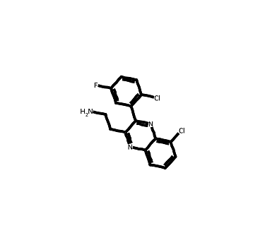 NCCc1nc2cccc(Cl)c2nc1-c1cc(F)ccc1Cl